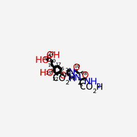 C[C@@H](N[C@H](CC(=O)O)C(N)=O)C(=O)N1CC(Oc2ccc(CCB(O)O)c(O)c2C(=O)O)C1